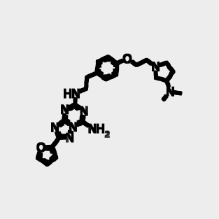 CN(C)C1CCN(CCOc2ccc(CCNc3nc(N)n4nc(-c5ccco5)nc4n3)cc2)C1